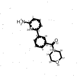 Nc1cccc(-c2cccc(C(=O)N3CCOCC3)c2)n1